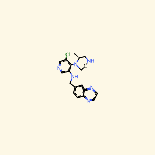 C[C@H]1CNCCN1c1c(Cl)cncc1NCc1ccc2nccnc2c1